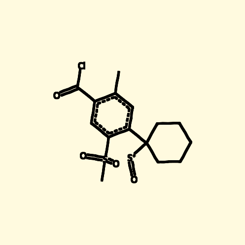 Cc1cc(C2([S+]=O)CCCCC2)c(S(C)(=O)=O)cc1C(=O)Cl